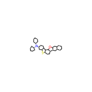 c1ccc(N(c2ccccc2)c2ccc3c(c2)sc2ccc4c5cc6ccccc6cc5oc4c23)cc1